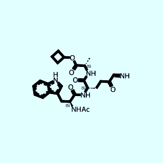 CC(=O)N[C@@H](Cc1c[nH]c2ccccc12)C(=O)N[C@@H](CCC(=O)C=N)C(=O)N[C@@H](C)C(=O)OC1CCC1